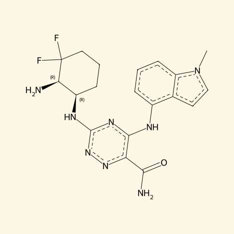 Cn1ccc2c(Nc3nc(N[C@@H]4CCCC(F)(F)[C@@H]4N)nnc3C(N)=O)cccc21